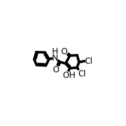 O=C1CC(Cl)C(Cl)C(O)=C1C(=O)Nc1ccccc1